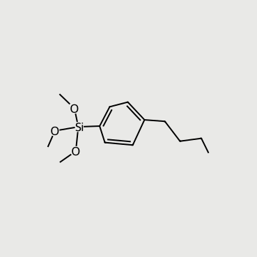 CCCCc1ccc([Si](OC)(OC)OC)cc1